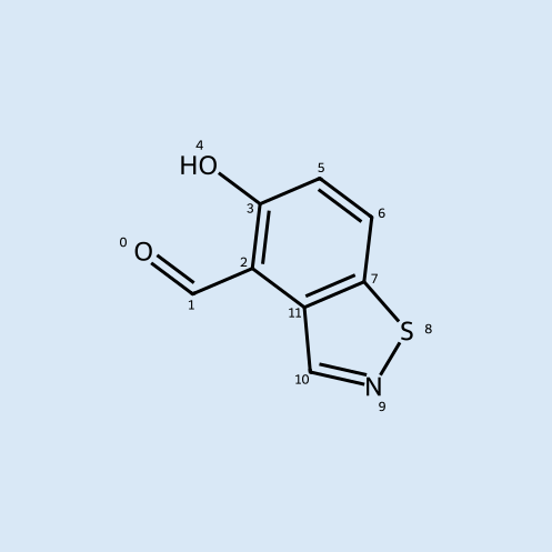 O=Cc1c(O)ccc2sncc12